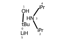 CC(C)(C)O.CC(C)NC(C)C.[LiH]